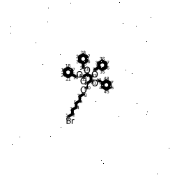 BrCCCCCCCCOC[C@H]1OC(OCc2ccccc2)[C@H](OCc2ccccc2)[C@@H](OCc2ccccc2)[C@H]1OCc1ccccc1